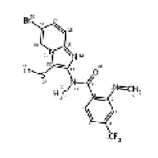 C=Nc1cc(C(F)(F)F)ccc1C(=O)N(C)c1nc2ccc(Br)cn2c1SCC